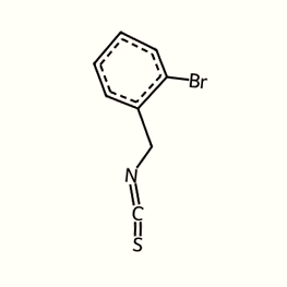 S=C=NCc1ccccc1Br